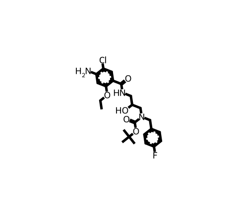 CCOc1cc(N)c(Cl)cc1C(=O)NCC(O)CN(Cc1ccc(F)cc1)C(=O)OC(C)(C)C